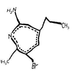 CCc1cc(Br)c(C)nc1N